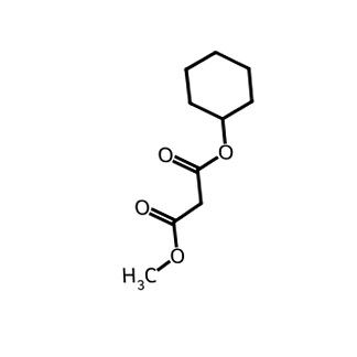 COC(=O)CC(=O)OC1CCCCC1